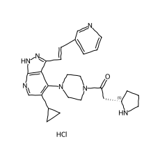 Cl.O=C(C[C@@H]1CCCN1)N1CCN(c2c(C3CC3)cnc3[nH]nc(C=Cc4cccnc4)c23)CC1